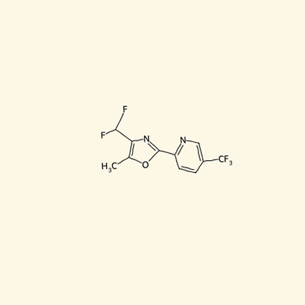 Cc1oc(-c2ccc(C(F)(F)F)cn2)nc1C(F)F